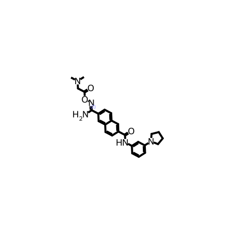 CN(C)CC(=O)O/N=C(\N)c1ccc2cc(C(=O)Nc3cccc(N4CCCC4)c3)ccc2c1